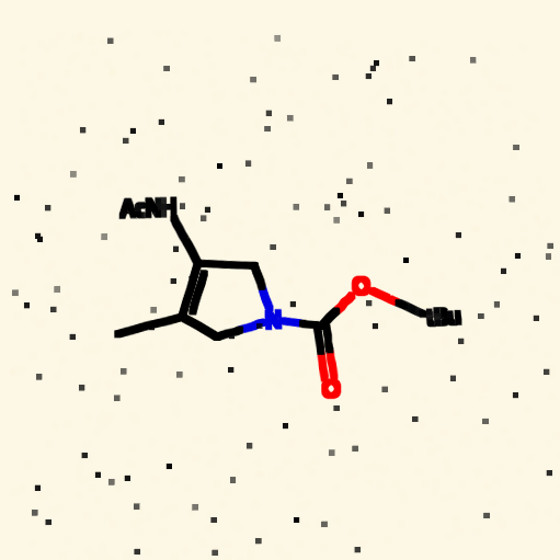 CC(=O)NC1=C(C)CN(C(=O)OC(C)(C)C)C1